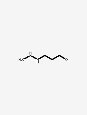 CNNCCC[O]